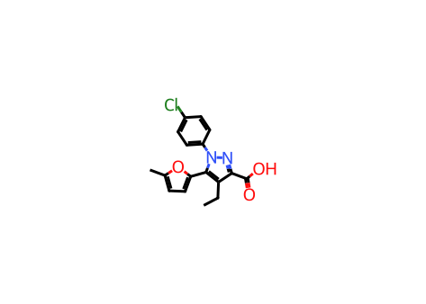 CCc1c(C(=O)O)nn(-c2ccc(Cl)cc2)c1-c1ccc(C)o1